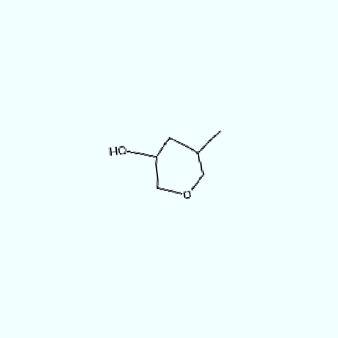 CC1COCC(O)C1